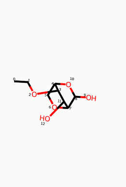 CCOC1C2COC(C(O)O2)C1O